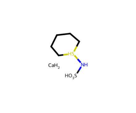 O=S(=O)(O)N[SH]1CCCCC1.[CaH2]